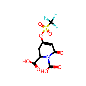 O=C(O)C1CC(OS(=O)(=O)C(F)(F)F)=CC(=O)N1C(=O)O